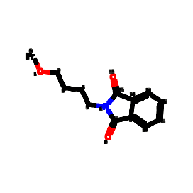 CC(C)OCCCCN1C(=O)c2ccccc2C1=O